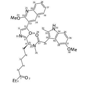 CCC(=O)CCCCC[C@@H](c1ncc(-c2cc3ccccc3nc2OC)o1)N(C)C(=O)Cc1c(C)[nH]c2ccc(OC)cc12